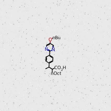 CCCCCCCCC(C(=O)O)C(C)c1ccc(-c2ncc(OCCCC)cn2)cc1